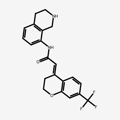 O=C(C=C1CCOc2cc(C(F)(F)F)ccc21)Nc1cccc2c1CNCC2